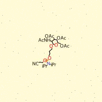 CC(=O)NC1C(OC(C)=O)[C@@H](OC(C)=O)C(COC(C)=O)O[C@H]1OCCCCOP(OCCC#N)N(C(C)C)C(C)C